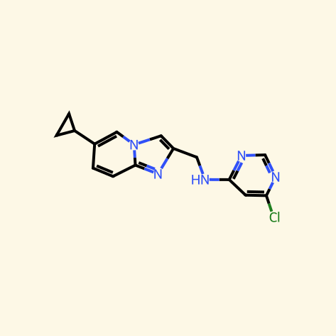 Clc1cc(NCc2cn3cc(C4CC4)ccc3n2)ncn1